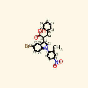 Cc1cc([N+](=O)[O-])ccc1-n1cc(C(Cc2ccccc2)C(=O)O)c2cc(Br)ccc21